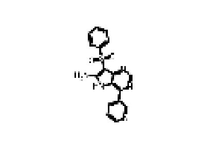 Nc1[nH]c2c(-c3cccnc3)ncnc2c1S(=O)(=O)c1ccccc1